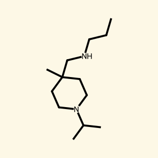 CCCNCC1(C)CCN(C(C)C)CC1